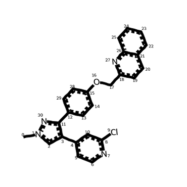 Cn1cc(-c2ccnc(Cl)c2)c(-c2ccc(OCc3ccc4ccccc4n3)cc2)n1